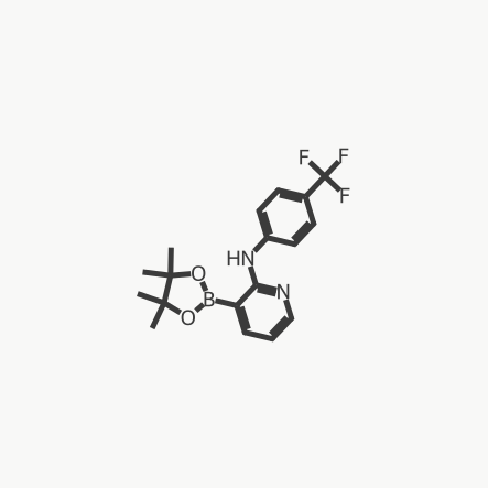 CC1(C)OB(c2cccnc2Nc2ccc(C(F)(F)F)cc2)OC1(C)C